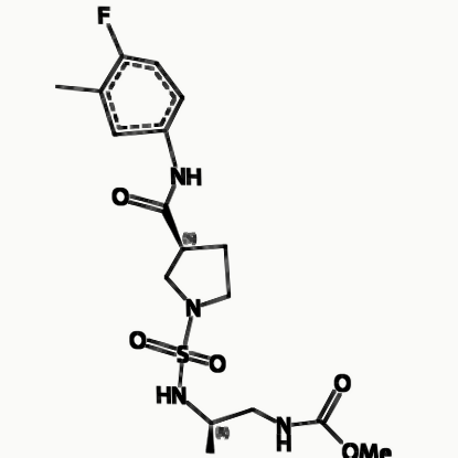 COC(=O)NC[C@@H](C)NS(=O)(=O)N1CC[C@H](C(=O)Nc2ccc(F)c(C)c2)C1